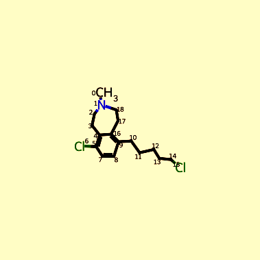 CN1CCc2c(Cl)ccc(CCCCCCl)c2CC1